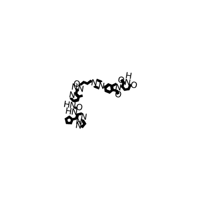 Cc1cc(NC(=O)Nc2cnc3ccnn3c2C2CCCC2)cnc1-c1noc(CCCN2CCN(c3ccc4c(c3)CN(C3CCC(=O)NC3=O)C4=O)CC2)n1